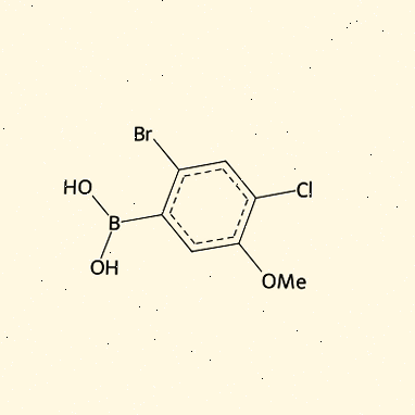 COc1cc(B(O)O)c(Br)cc1Cl